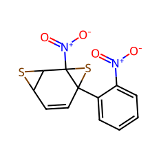 O=[N+]([O-])c1ccccc1C12C=CC3SC3C1([N+](=O)[O-])S2